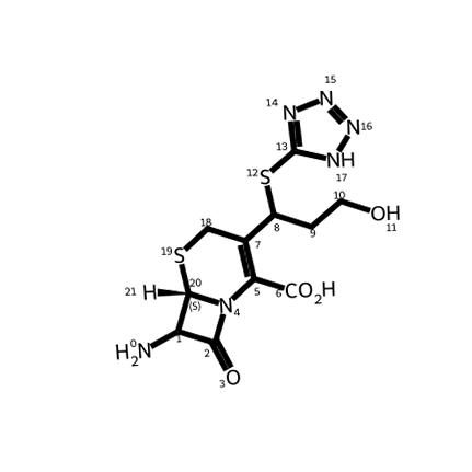 NC1C(=O)N2C(C(=O)O)=C(C(CCO)Sc3nnn[nH]3)CS[C@@H]12